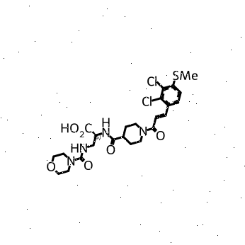 CSc1ccc(C=CC(=O)N2CCC(C(=O)N[C@@H](CNC(=O)N3CCOCC3)C(=O)O)CC2)c(Cl)c1Cl